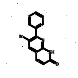 O=c1ccc2cc(Br)c(-c3ccccc3)nc2[nH]1